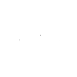 C=CC1C=CC=C2C=CC=CN21.Cl